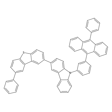 c1ccc(-c2ccc3sc4ccc(-c5ccc6c(c5)c5ccccc5n6-c5cccc(-c6c7ccccc7c(-c7ccccc7)c7ccccc67)c5)cc4c3c2)cc1